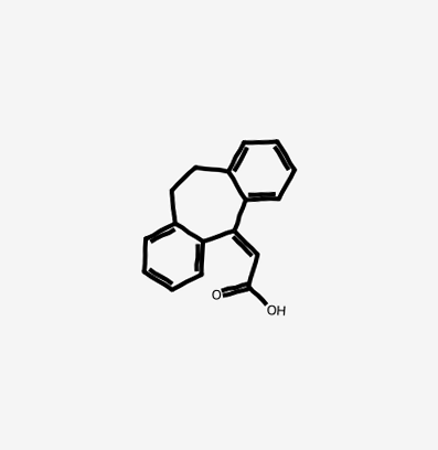 O=C(O)C=C1c2ccccc2CCc2ccccc21